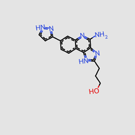 Nc1nc2cc(-c3cc[nH]n3)ccc2c2[nH]c(CCCO)nc12